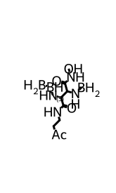 BBN[C@H](C(=O)NCCC(C)=O)C(NB)C(=O)NO